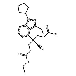 CCOC(=O)CCC(C#N)(CCC(=O)O)c1cccc2c1c(CC)nn2C1CCCC1